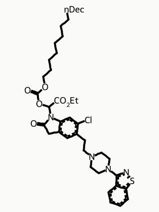 CCCCCCCCCCCCCCCCCCOC(=O)OC(C(=O)OCC)N1C(=O)Cc2cc(CCN3CCN(c4nsc5ccccc45)CC3)c(Cl)cc21